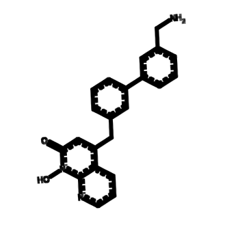 NCc1cccc(-c2cccc(Cc3cc(=O)n(O)c4ncccc34)c2)c1